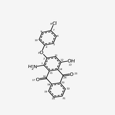 Nc1c(Oc2ccc(Cl)cc2)cc(O)c2c1C(=O)c1ccccc1C2=O